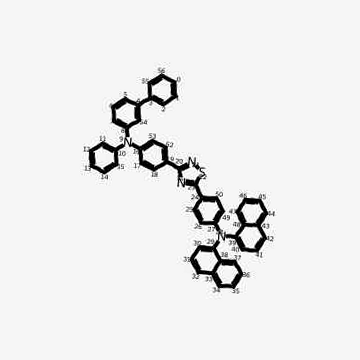 c1ccc(-c2cccc(N(c3ccccc3)c3ccc(-c4nsc(-c5ccc(N(c6cccc7ccccc67)c6cccc7ccccc67)cc5)n4)cc3)c2)cc1